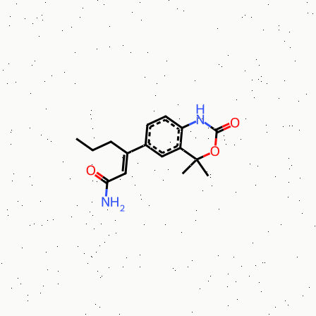 CCCC(=CC(N)=O)c1ccc2c(c1)C(C)(C)OC(=O)N2